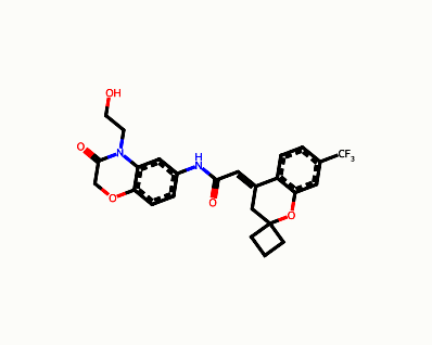 O=C(/C=C1\CC2(CCC2)Oc2cc(C(F)(F)F)ccc21)Nc1ccc2c(c1)N(CCO)C(=O)CO2